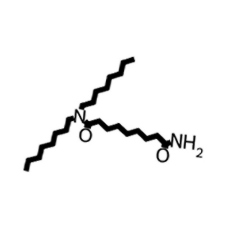 CCCCCCCCN(CCCCCCCC)C(=O)CCCCCCCC(N)=O